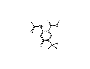 COC(=O)c1cn(C2(C)CC2)c(=O)cc1NC(C)=O